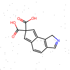 O=C(O)C1(C(=O)O)C=c2ccc3c(c2=C1)CN=C3